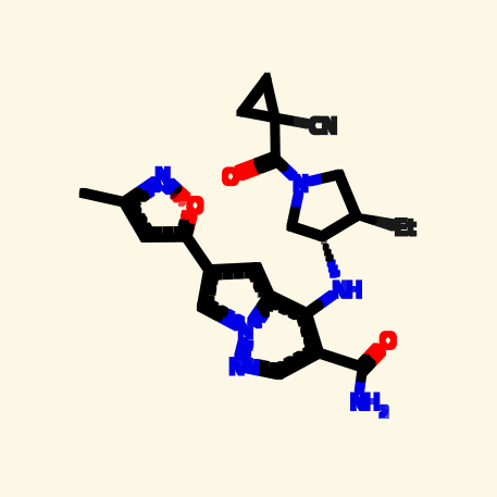 CC[C@@H]1CN(C(=O)C2(C#N)CC2)C[C@H]1Nc1c(C(N)=O)cnn2cc(-c3cc(C)no3)cc12